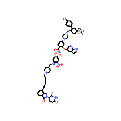 CC1(C)CCC(CN2CCN(c3ccc(C(=O)NS(=O)(=O)c4ccc(NCC5CCN(CCCCC#Cc6cccc7c6CN(C6CCC(=O)NC6=O)C7=O)CC5)c([N+](=O)[O-])c4)c(Oc4cnc5[nH]ccc5c4)c3)CC2)=C(c2ccc(Cl)cc2)C1